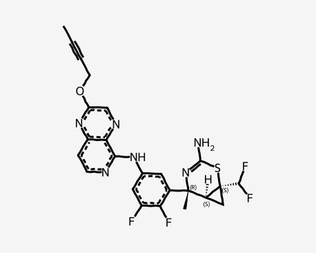 CC#CCOc1cnc2c(Nc3cc(F)c(F)c([C@]4(C)N=C(N)S[C@@]5(C(F)F)C[C@@H]45)c3)nccc2n1